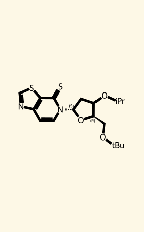 CC(C)OC1C[C@@H](n2ccc3ncsc3c2=S)O[C@@H]1COC(C)(C)C